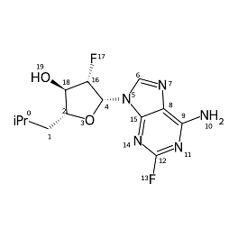 CC(C)C[C@H]1O[C@@H](n2cnc3c(N)nc(F)nc32)[C@@H](F)[C@@H]1O